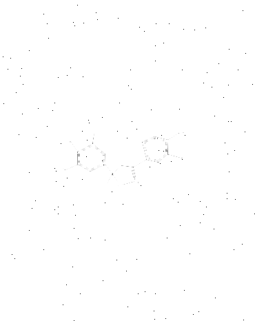 Cc1cc(C2=NOC(c3cc(Cl)c(Cl)c(Cl)c3)(C(F)(F)F)C2)ccc1Br